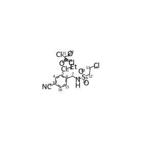 CCCl.N#Cc1ccc(CNS(=O)(=O)CCCl)cc1.O=S(=O)(Cl)Cl